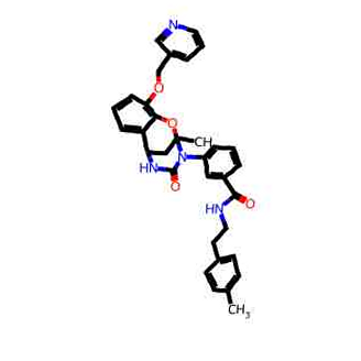 Cc1ccc(CCNC(=O)c2cccc(N3C(=O)NC4CC3(C)Oc3c(OCc5cccnc5)cccc34)c2)cc1